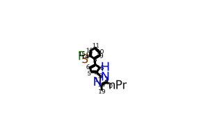 CCCc1[nH]c(C2=CC=C(c3ccccc3SF)C2)nc1C